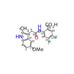 COc1ccc2[nH]c(C)c(CC(=O)Nc3cc(F)c(F)cc3C(=O)O)c2c1